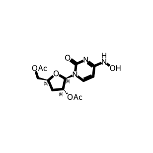 CC(=O)OC[C@@H]1C[C@@H](OC(C)=O)[C@H](n2ccc(NO)nc2=O)O1